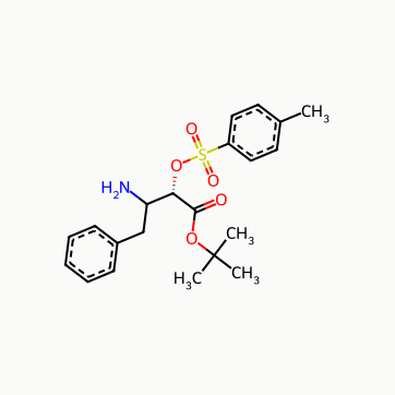 Cc1ccc(S(=O)(=O)O[C@H](C(=O)OC(C)(C)C)C(N)Cc2ccccc2)cc1